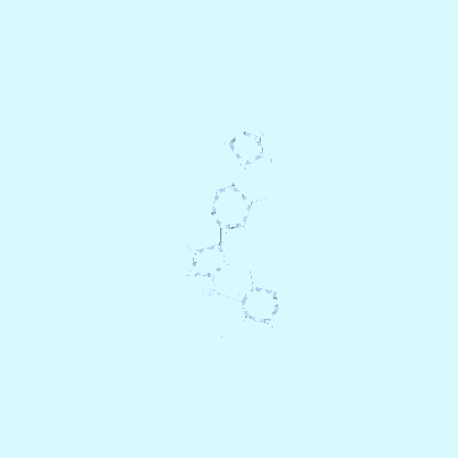 COc1cc(-c2nc(Nc3c(C)cccc3F)n(C)n2)ccc1-n1cnc(C)c1